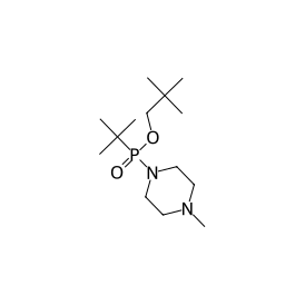 CN1CCN(P(=O)(OCC(C)(C)C)C(C)(C)C)CC1